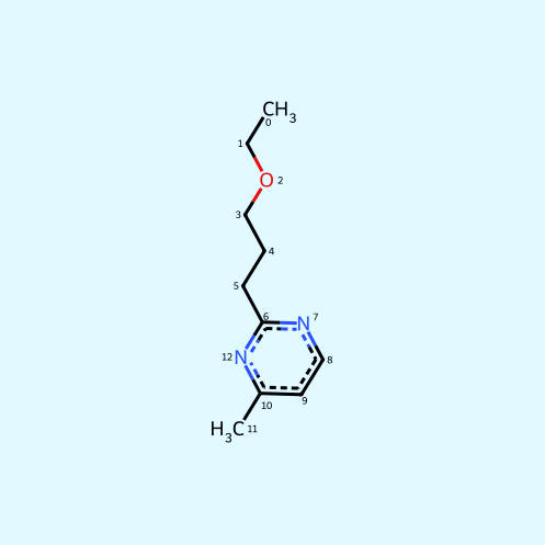 CCOCCCc1nccc(C)n1